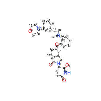 O=C1CCC(N2Cc3cc(O[C@H]4CCCC[C@H]4N4CC(c5cccc(N6CCOCC6)c5)C4)ccc3C2=O)C(=O)N1